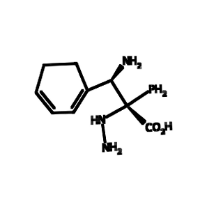 NN[C@](P)(C(=O)O)[C@H](N)C1=CC=CCC1